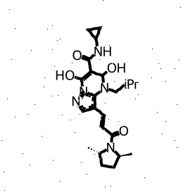 CC(C)CN1c2c(/C=C/C(=O)N3[C@@H](C)CC[C@@H]3C)cnn2C(O)=C(C(=O)NC2CC2)C1O